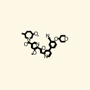 COc1cc(C(=O)N2CC(C)CCC(OC)C2)cnc1-c1cc2nccc(-c3ccc(OC4CCOCC4)c(C#N)c3)c2o1